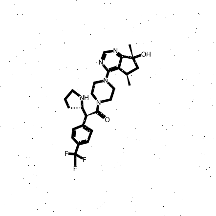 C[C@@H]1C[C@@](C)(O)c2ncnc(N3CCN(C(=O)[C@@H](c4ccc(C(F)(F)F)cc4)[C@@H]4CCCN4)CC3)c21